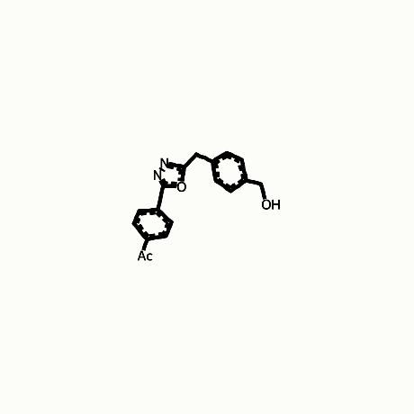 CC(=O)c1ccc(-c2nnc(Cc3ccc(CO)cc3)o2)cc1